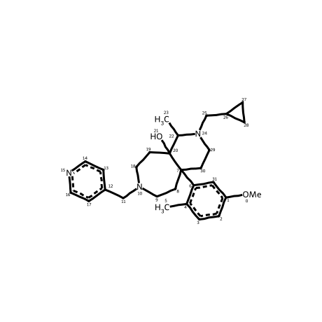 COc1ccc(C)c(C23CCN(Cc4ccncc4)CCC2(O)C(C)N(CC2CC2)CC3)c1